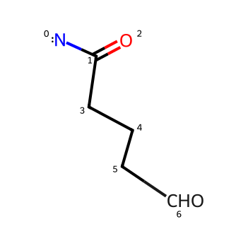 [N]C(=O)CCCC=O